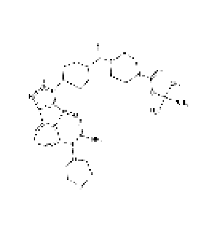 CC(C)(C)OC(=O)N1CCN(C(=O)N2CCC(c3[nH]nc4c3C(=O)c3c-4cccc3N(C(N)=O)N3CCOCC3)CC2)CC1